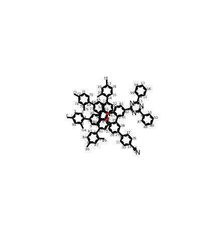 Cc1ccc(-c2ccc3c(c2)c2cc(-c4ccc(C)cc4C)ccc2n3-c2ccc(-c3ccc(C#N)cc3)cc2-c2cc(-c3nc(-c4ccccc4)nc(-c4ccccc4)n3)ccc2-n2c3ccc(-c4ccc(C)cc4C)cc3c3cc(-c4ccc(C)cc4C)ccc32)c(C)c1